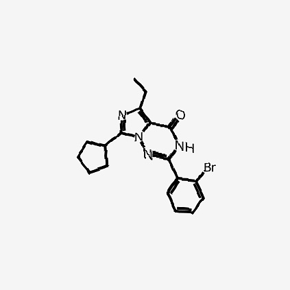 CCc1nc(C2CCCC2)n2nc(-c3ccccc3Br)[nH]c(=O)c12